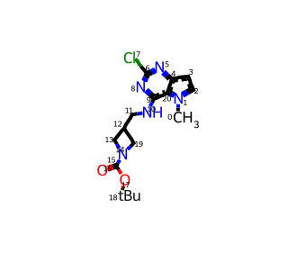 Cn1ccc2nc(Cl)nc(NCC3CN(C(=O)OC(C)(C)C)C3)c21